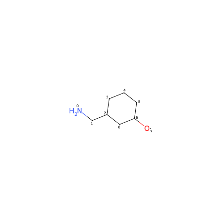 NCC1CCCC([O])C1